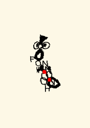 Cc1c(Oc2ccc(S(=O)(=O)C3CC3)cc2F)ncnc1O[C@H]1CC2C=C[C@@H](C1)N2C(=O)OC(C)C